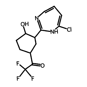 O=C(C1CCC(O)C(C2=NC=CC=C(Cl)N2)C1)C(F)(F)F